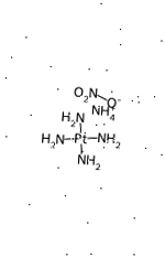 O=[N+]([O-])[O-].[NH2][Pt]([NH2])([NH2])[NH2].[NH4+]